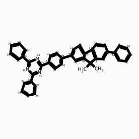 CC1(C)c2cc(-c3ccccc3)ccc2-c2ccc(-c3ccc(-c4nc(-c5ccccc5)nc(-c5ccccc5)n4)cc3)cc21